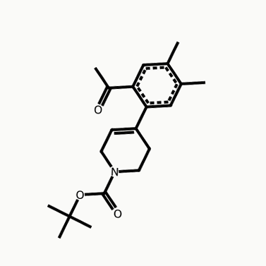 CC(=O)c1cc(C)c(C)cc1C1=CCN(C(=O)OC(C)(C)C)CC1